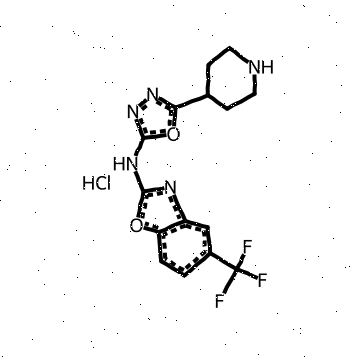 Cl.FC(F)(F)c1ccc2oc(Nc3nnc(C4CCNCC4)o3)nc2c1